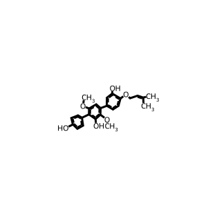 COc1cc(-c2ccc(OCC=C(C)C)c(O)c2)c(OC)c(O)c1-c1ccc(O)cc1